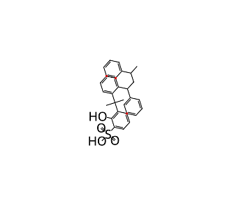 CC(CC(c1ccccc1)c1ccccc1C(C)(C)c1cccc(S(=O)(=O)O)c1O)c1ccccc1